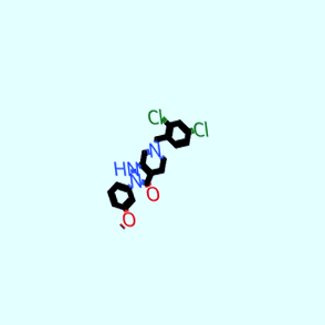 COc1cccc(-n2[nH]c3c(c2=O)CCN(Cc2ccc(Cl)cc2Cl)C3)c1